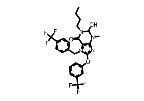 CCCCN1C(=O)c2c(nc(Oc3cccc(C(F)(F)F)c3)n2Cc2ccc(C(F)(F)F)cc2)N(C)C1O